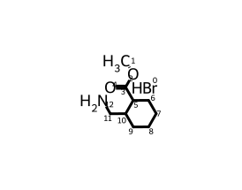 Br.COC(=O)C1CCCCC1CN